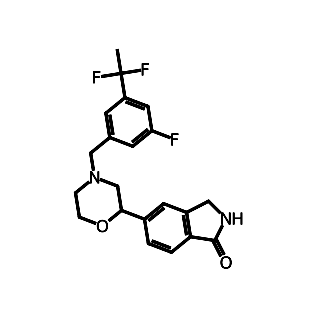 CC(F)(F)c1cc(F)cc(CN2CCOC(c3ccc4c(c3)CNC4=O)C2)c1